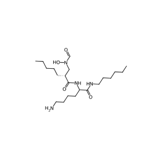 CCCCCCNC(=O)C(CCCCN)NC(=O)[C@H](CCCCC)CN(O)C=O